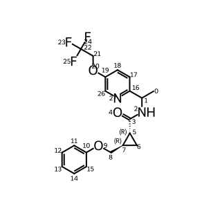 CC(NC(=O)[C@@H]1C[C@H]1COc1ccccc1)c1ccc(OCC(F)(F)F)cn1